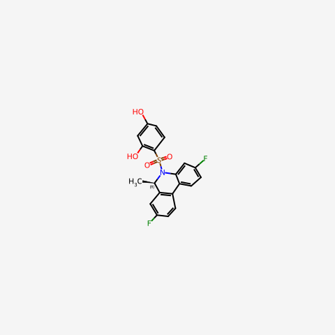 C[C@@H]1c2cc(F)ccc2-c2ccc(F)cc2N1S(=O)(=O)c1ccc(O)cc1O